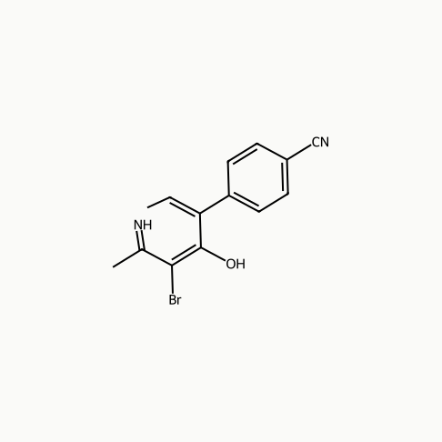 C/C=C(\C(O)=C(\Br)C(C)=N)c1ccc(C#N)cc1